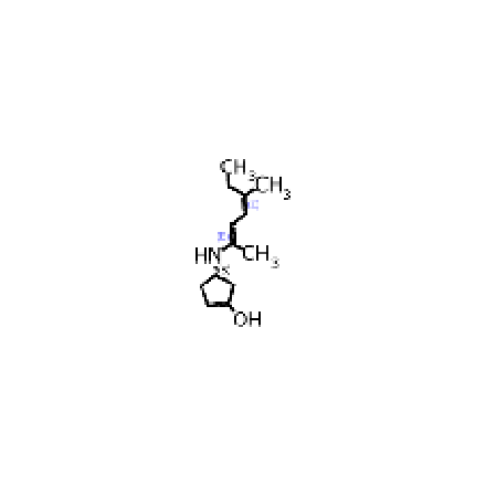 CC/C(C)=C\C=C(/C)N[C@H]1CCC(O)C1